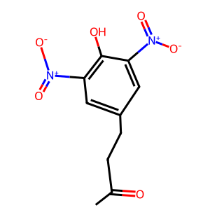 CC(=O)CCc1cc([N+](=O)[O-])c(O)c([N+](=O)[O-])c1